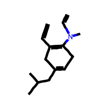 C=CC1=C(N(C)C=C)CC=C(CC(C)C)C1